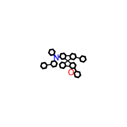 c1ccc(-c2cccc(N(c3ccccc3)c3ccc4c(c3)C3(c5cc(-c6ccccc6)ccc5-4)c4ccccc4-c4c3ccc3c4oc4ccccc43)c2)cc1